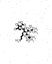 CC(C)(C)OC(=O)N(C(=O)OC(C)(C)C)[C@@H](CCCCN)C(=O)N1CC(Cl)C(Cl)[C@H]1C(=O)O